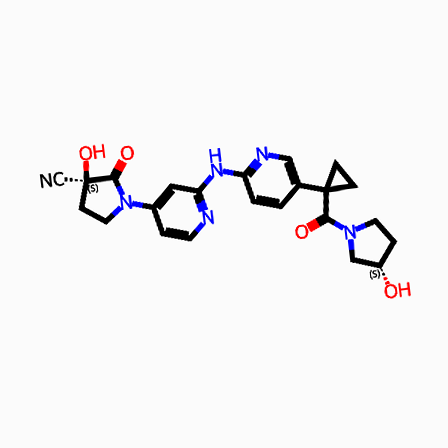 N#C[C@@]1(O)CCN(c2ccnc(Nc3ccc(C4(C(=O)N5CC[C@H](O)C5)CC4)cn3)c2)C1=O